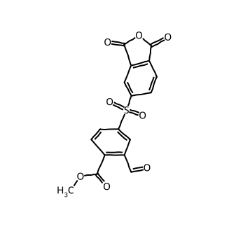 COC(=O)c1ccc(S(=O)(=O)c2ccc3c(c2)C(=O)OC3=O)cc1C=O